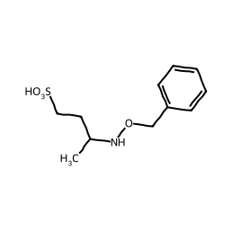 CC(CCS(=O)(=O)O)NOCc1ccccc1